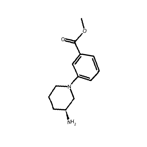 COC(=O)c1cccc(N2CCC[C@H](N)C2)c1